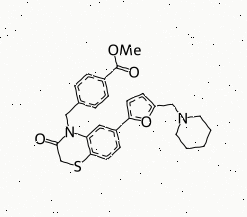 COC(=O)c1ccc(CN2C(=O)CSc3ccc(-c4ccc(CN5CCCCC5)o4)cc32)cc1